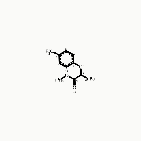 CCCCC(Oc1ccc(C(F)(F)F)cc1)C(=O)OC(C)C